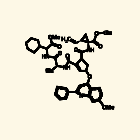 C=C[C@@H]1C[C@]1(NC(=O)C1CC(Oc2cc(-c3ccccc3)nc3cc(OC)ccc23)C=C1C(=O)N[C@H](C(=O)NC(C(=O)OC)C1CCCCC1)C(C)(C)C)C(=O)OC(C)(C)C